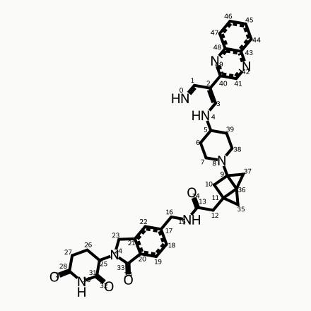 N=C/C(=C\NC1CCN(C23CC4(CC(=O)NCc5ccc6c(c5)CN(C5CCC(=O)NC5=O)C6=O)CC42C3)CC1)c1cnc2ccccc2n1